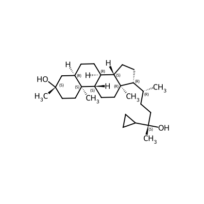 C[C@H](CC[C@](C)(O)C1CC1)[C@H]1CC[C@H]2[C@@H]3CC[C@@H]4C[C@@](C)(O)CC[C@]4(C)[C@H]3CC[C@]12C